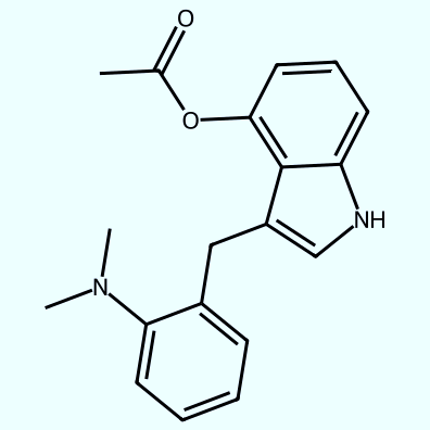 CC(=O)Oc1cccc2[nH]cc(Cc3ccccc3N(C)C)c12